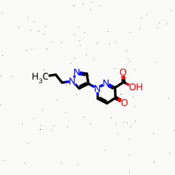 CCCn1cc(-n2ccc(=O)c(C(=O)O)n2)cn1